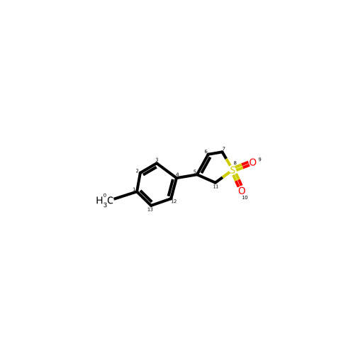 Cc1ccc(C2=CCS(=O)(=O)C2)cc1